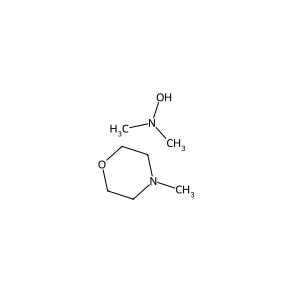 CN(C)O.CN1CCOCC1